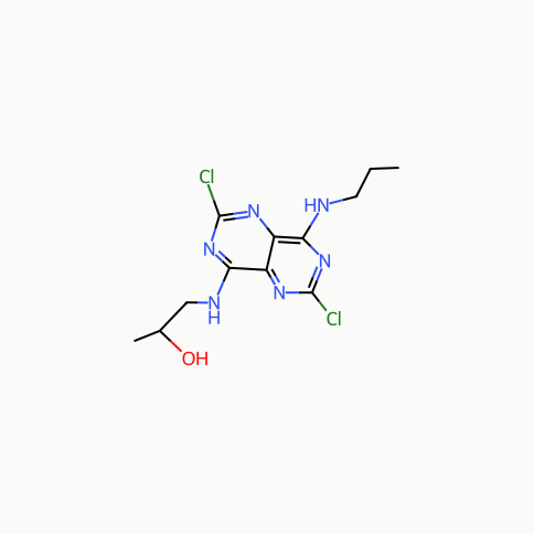 CCCNc1nc(Cl)nc2c(NCC(C)O)nc(Cl)nc12